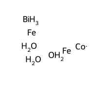 O.O.O.[BiH3].[Co].[Fe].[Fe]